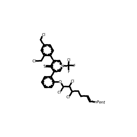 CCCCCC=CCCC(Cl)C(Cl)C(Cl)Oc1ccccc1-c1cn(C(F)(F)Cl)cc(-c2ccc(CCl)cc2CCl)c1=S